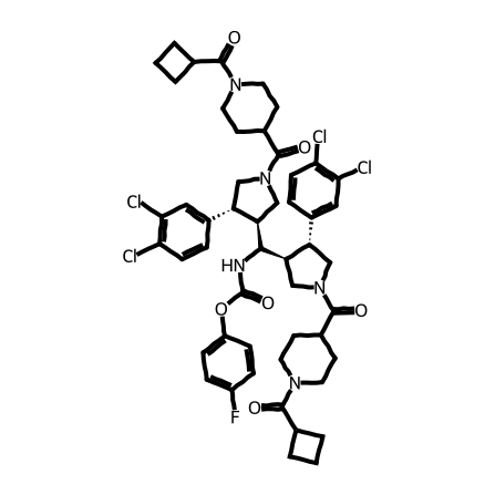 O=C(NC([C@@H]1CN(C(=O)C2CCN(C(=O)C3CCC3)CC2)C[C@H]1c1ccc(Cl)c(Cl)c1)[C@@H]1CN(C(=O)C2CCN(C(=O)C3CCC3)CC2)C[C@H]1c1ccc(Cl)c(Cl)c1)Oc1ccc(F)cc1